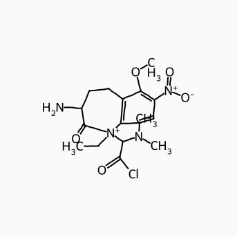 CC[N+]1(C(C(=O)Cl)N(C)C)C(=O)C(N)CCc2c1ccc([N+](=O)[O-])c2OC